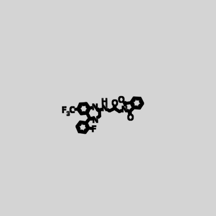 O=C(CNC1=Nc2ccc(C(F)(F)F)cc2C(c2ccccc2F)=NC1)CN1C(=O)c2ccccc2C1=O